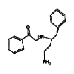 NCCC(Cc1ccccc1)NCC(=O)c1ccccc1